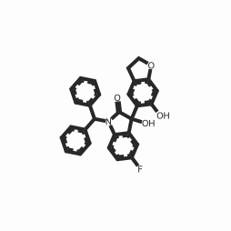 O=C1N(C(c2ccccc2)c2ccccc2)c2ccc(F)cc2C1(O)c1cc2c(cc1O)OCC2